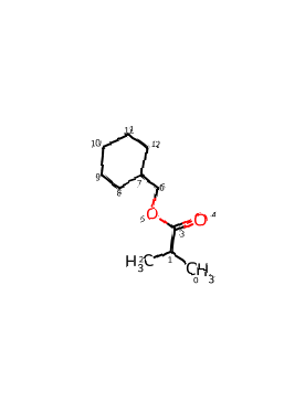 CC(C)C(=O)OCC1CCCCC1